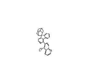 Clc1c(-c2cccc3c2-c2ccccc2C32C3CC4CC(C3)CC2C4)ccc2ncccc12